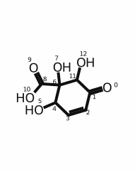 O=C1C=CC(O)C(O)(C(=O)O)C1O